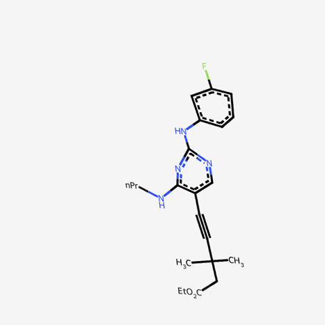 CCCNc1nc(Nc2cccc(F)c2)ncc1C#CC(C)(C)CC(=O)OCC